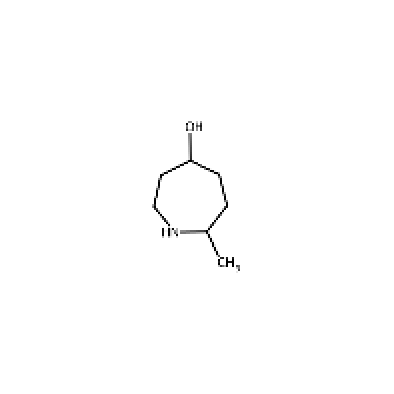 CC1CCC(O)CCN1